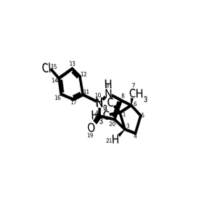 CC1(C)[C@@H]2CC[C@@]1(C)c1[nH]n(-c3ccc(Cl)cc3)c(=O)c12